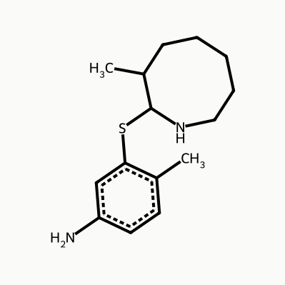 Cc1ccc(N)cc1SC1NCCCCCC1C